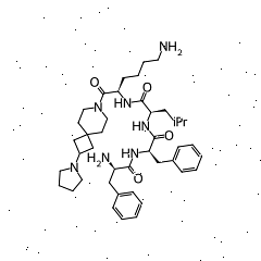 CC(C)C[C@@H](NC(=O)[C@@H](Cc1ccccc1)NC(=O)[C@H](N)Cc1ccccc1)C(=O)N[C@H](CCCCN)C(=O)N1CCC2(CC1)CC(N1CCCC1)C2